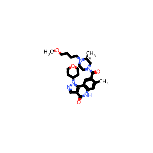 COCCCCN1CCN(C(=O)c2cc3c(cc2C)[nH]c(=O)c2cnn(C4CCOCC4)c23)C[C@@H]1C